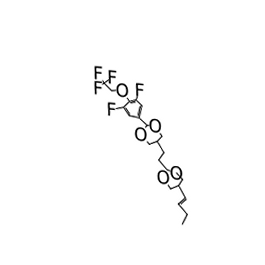 CCC=CC1COC(CCC2COC(c3cc(F)c(OCC(F)(F)F)c(F)c3)OC2)OC1